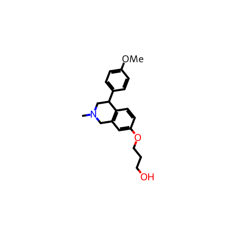 COc1ccc(C2CN(C)Cc3cc(OCCCO)ccc32)cc1